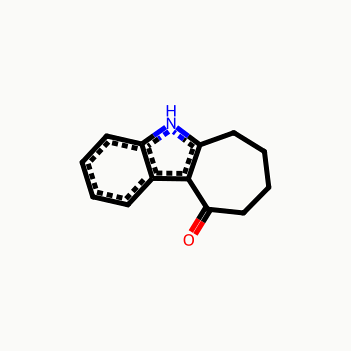 O=C1CCCCc2[nH]c3ccccc3c21